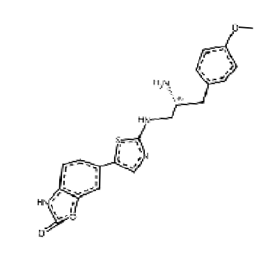 COc1ccc(C[C@@H](N)CNc2ncc(-c3ccc4[nH]c(=O)oc4c3)s2)cc1